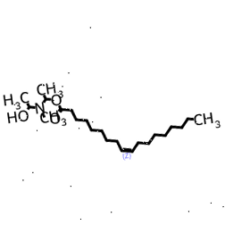 CCCCCCCC/C=C\CCCCCCCC(=O)OC(C)N(C)C(C)O